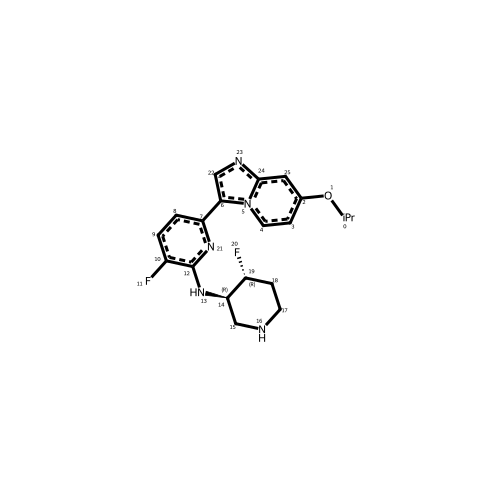 CC(C)Oc1ccn2c(-c3ccc(F)c(N[C@@H]4CNCC[C@H]4F)n3)cnc2c1